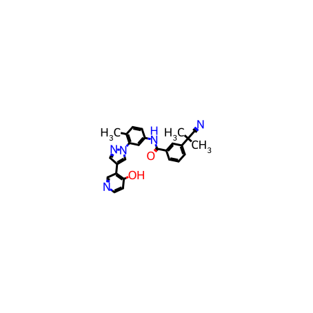 Cc1ccc(NC(=O)c2cccc(C(C)(C)C#N)c2)cc1-n1cc(-c2cnccc2O)cn1